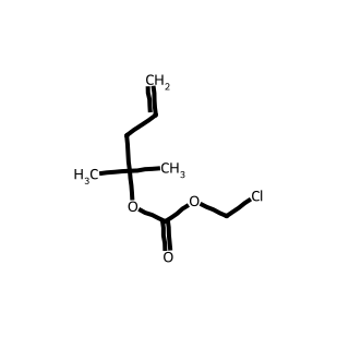 C=CCC(C)(C)OC(=O)OCCl